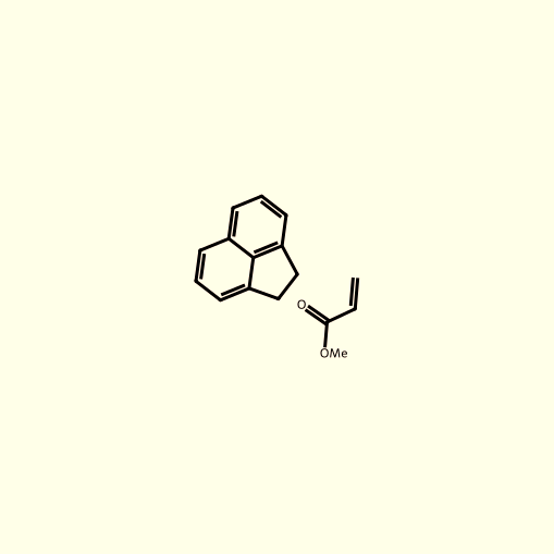 C=CC(=O)OC.c1cc2c3c(cccc3c1)CC2